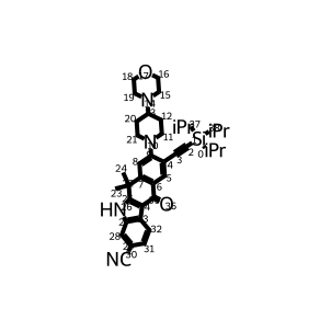 CC(C)[Si](C#Cc1cc2c(cc1N1CCC(N3CCOCC3)CC1)C(C)(C)c1[nH]c3cc(C#N)ccc3c1C2=O)(C(C)C)C(C)C